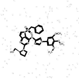 COc1cc(-n2cnc(Nc3nc(N4CCC[C@H]4CO)nc4ccn(S(=O)(=O)Cc5ccccc5)c34)c2)cc(OC)c1OC